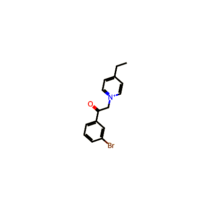 CCc1cc[n+](CC(=O)c2cccc(Br)c2)cc1